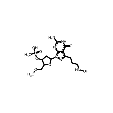 COCC1OC(n2nc(CCCNO)c3c(=O)[nH]c(N)nc32)CC1OP(C)(=O)O